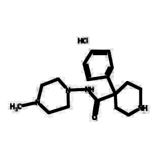 CN1CCN(NC(=O)C2(c3ccccc3)CCNCC2)CC1.Cl